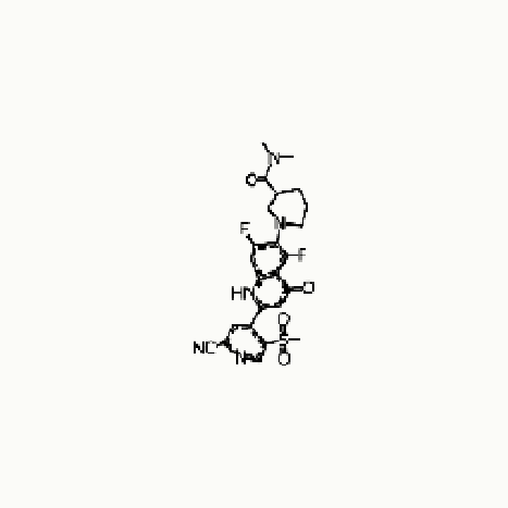 CN(C)C(=O)[C@H]1CCCN(c2c(F)cc3[nH]c(-c4cc(C#N)ncc4S(C)(=O)=O)cc(=O)c3c2F)C1